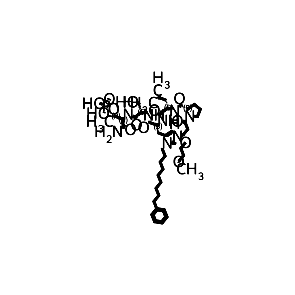 COCCOCCC(=O)N1CCC[C@H]1C(=O)N[C@@H](CC(C)C)C(=O)N[C@@H](Cc1cncn1CCCCCCCCCc1ccccc1)C(=O)N[C@@H](CO)C(=O)N[C@H](C(N)=O)[C@@H](C)OP(=O)(O)O